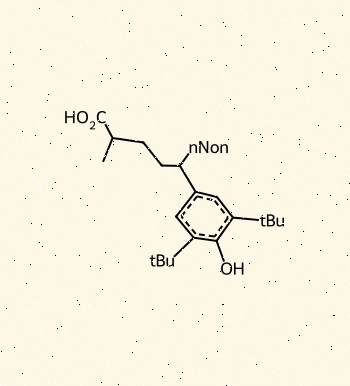 CCCCCCCCCC(CCC(C)C(=O)O)c1cc(C(C)(C)C)c(O)c(C(C)(C)C)c1